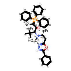 CCC[C@H](Cc1nnc(-c2ccccc2)o1)N(C(=O)O)[C@H](C(=O)C(C#N)=P(c1ccccc1)(c1ccccc1)c1ccccc1)C(C)(C)CCC